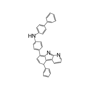 C1=CC(c2ccccc2)C2=c3cccnc3=NC2=C1c1ccc(Nc2ccc(-c3ccccc3)cc2)cc1